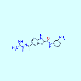 C/C(=N\NC(=N)N)c1ccc2[nH]c(C(=O)Nc3cccc(N)c3)cc2c1